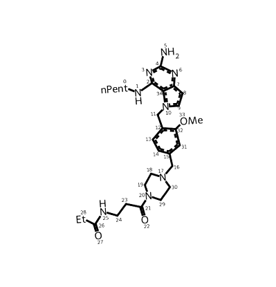 CCCCCNc1nc(N)nc2ccn(Cc3ccc(CN4CCN(C(=O)CCNC(=O)CC)CC4)cc3OC)c12